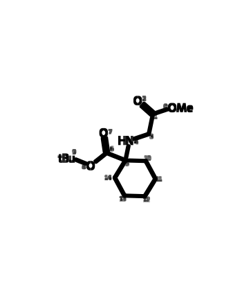 COC(=O)CNC1(C(=O)OC(C)(C)C)CCCCC1